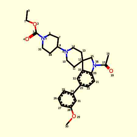 CCOC(=O)N1CCC(N2CCC3(CC2)CN(C(C)=O)c2ccc(-c4cccc(OC)c4)cc23)CC1